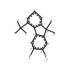 CC(C)(C)c1cccc2c1-c1cc(F)c(F)cc1C2(C)C